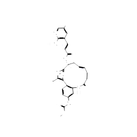 COC(=O)Nc1ccc2c(c1)NC(=O)CC/C=C/C[C@H](NC(=O)/C=C/c1cc(Cl)cnc1N)c1nc-2c(Cl)[nH]1